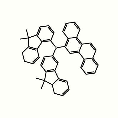 CC1(C)C2=C(C=CCC2)c2c(N(c3ccc4c(c3)C3=CC=CCC3C4(C)C)c3cc4c5ccccc5ccc4c4ccccc34)cccc21